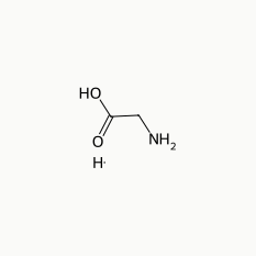 NCC(=O)O.[H]